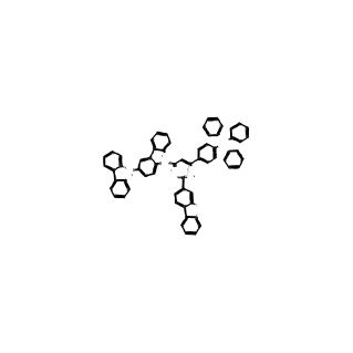 c1ccc(S(c2ccccc2)(c2ccccc2)c2ccc(-c3cc(-n4c5ccccc5c5cc(-n6c7ccccc7c7ccccc76)ccc54)nc(-c4ccc5c(c4)sc4ccccc45)n3)cc2)cc1